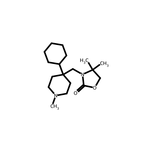 CN1CCC(CN2C(=O)OCC2(C)C)(C2CCCCC2)CC1